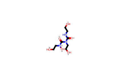 O=C(NCCO)N(CCO)C(=O)N(O)CCO